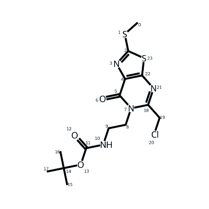 CSc1nc2c(=O)n(CCNC(=O)OC(C)(C)C)c(CCl)nc2s1